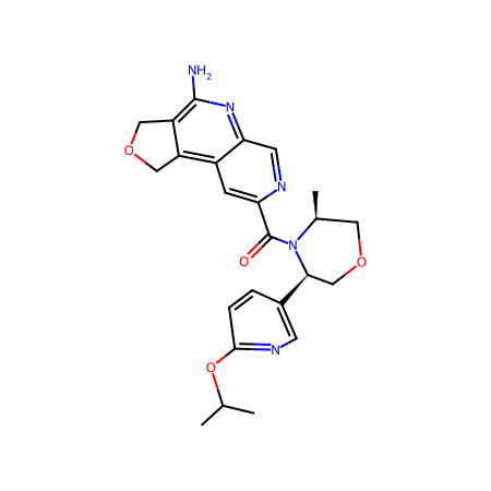 CC(C)Oc1ccc([C@@H]2COC[C@H](C)N2C(=O)c2cc3c4c(c(N)nc3cn2)COC4)cn1